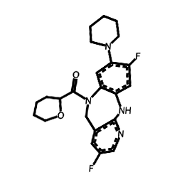 O=C(C1CCCCO1)N1Cc2cc(F)cnc2Nc2cc(F)c(N3CCCCC3)cc21